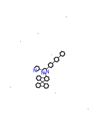 c1ccc(-c2ccc(-c3ccc(-c4cc(-c5cccnc5)nc(-c5cccc6c5-c5ccccc5C65c6ccccc6-c6ccccc65)n4)cc3)cc2)cc1